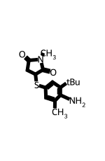 Cc1cc(SC2CC(=O)N(C)C2=O)cc(C(C)(C)C)c1N